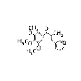 COc1cc(C(=O)C(C)=Cc2cccnc2)cc(OC)c1OC